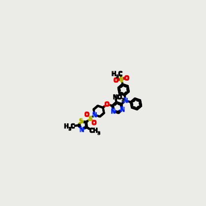 Cc1nc(C)c(S(=O)(=O)N2CCC(Oc3ncnc(N(c4ccccc4)c4ccc(S(C)(=O)=O)cc4)c3[N+](=O)[O-])CC2)s1